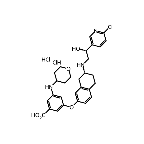 Cl.Cl.O=C(O)c1cc(NC2CCOCC2)cc(Oc2ccc3c(c2)C[C@@H](NC[C@@H](O)c2ccc(Cl)nc2)CC3)c1